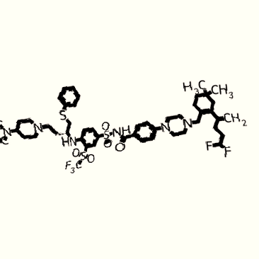 C=C(CCC(F)F)C1=C(CN2CCN(c3ccc(C(=O)NS(=O)(=O)c4ccc(N[C@H](CCN5CCC(N(C)C)CC5)CSc5ccccc5)c(S(=O)(=O)C(F)(F)F)c4)cc3)CC2)CCC(C)(C)C1